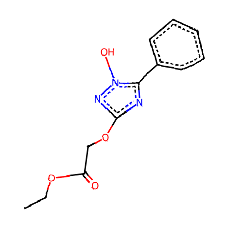 CCOC(=O)COc1nc(-c2ccccc2)n(O)n1